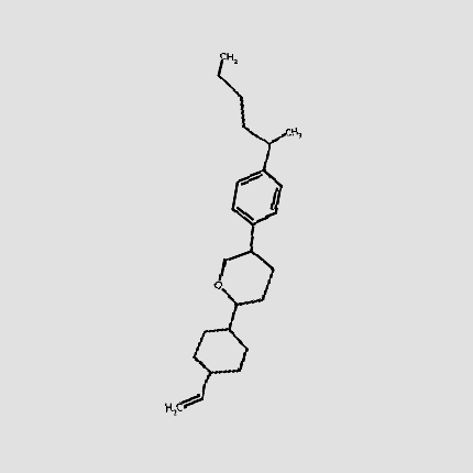 C=CC1CCC(C2CCC(c3ccc(C(C)CCCC)cc3)CO2)CC1